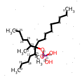 CCCCCCCCCC(OP(=O)(O)O)(C(C)CCCC)C(C)CCCC